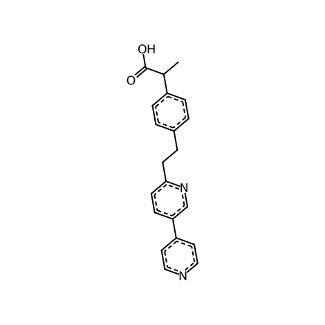 CC(C(=O)O)c1ccc(CCc2ccc(-c3ccncc3)cn2)cc1